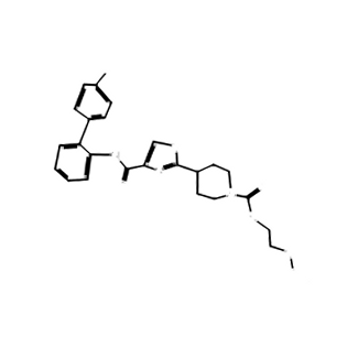 COCCNC(=S)N1CCC(c2nc(C(=O)Nc3ccccc3-c3ccc(Cl)cc3)cs2)CC1